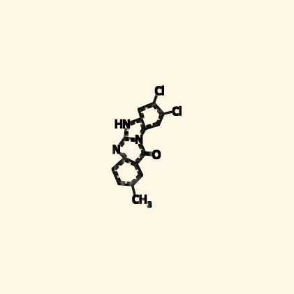 Cc1ccc2nc3[nH]c4cc(Cl)c(Cl)cc4n3c(=O)c2c1